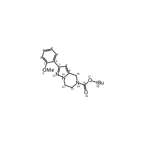 COc1ccccc1-c1cc2n(n1)CCN(C(=O)OC(C)(C)C)C2